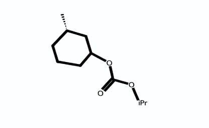 CC(C)OC(=O)OC1CCC[C@H](C)C1